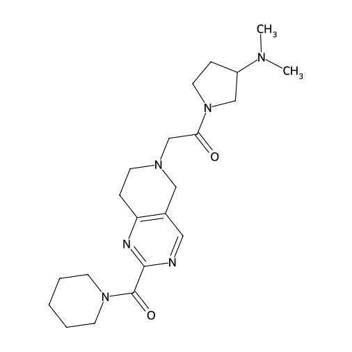 CN(C)C1CCN(C(=O)CN2CCc3nc(C(=O)N4CCCCC4)ncc3C2)C1